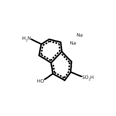 Nc1ccc2cc(S(=O)(=O)O)cc(O)c2c1.[Na].[Na]